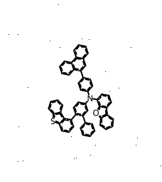 c1ccc(-c2cc(N(c3ccc(-c4cc5ccccc5c5ccccc45)cc3)c3cccc4c3oc3ccccc34)ccc2-c2cccc3sc4ccccc4c23)cc1